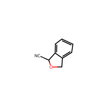 N#CC1OCc2ccccc21